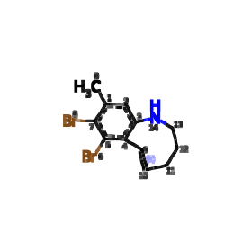 Cc1cc2c(c(Br)c1Br)/C=C/CCCN2